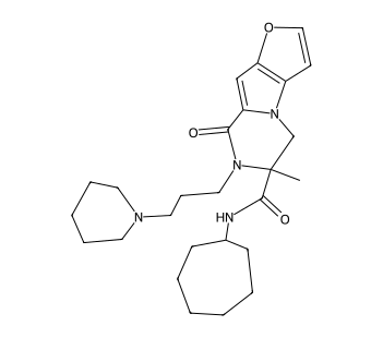 CC1(C(=O)NC2CCCCCC2)Cn2c(cc3occc32)C(=O)N1CCCN1CCCCC1